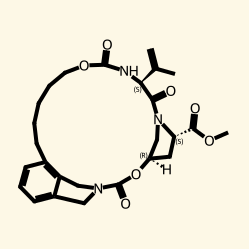 C=C(C)[C@@H]1NC(=O)OCCCCCc2cccc3c2CN(C3)C(=O)O[C@@H]2C[C@@H](C(=O)OC)N(C2)C1=O